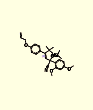 C=CCOc1ccc(/C(=C/C(C#N)(O[SiH](C)C)c2ccc(OC)cc2OC)C(C)(C)C)cc1